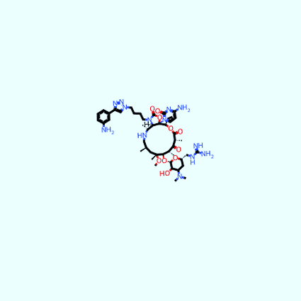 CC[C@H]1OC(=O)[C@H](C)C(=O)[C@H](C)[C@@H](O[C@@H]2O[C@H](CNC(=N)N)CC(N(C)C)C2O)[C@](C)(OC)C[C@@H](C)CN[C@H](C)[C@H]2N(CCCCn3cc(-c4cccc(N)c4)nn3)C(=O)O[C@]12n1ccc(N)nc1=O